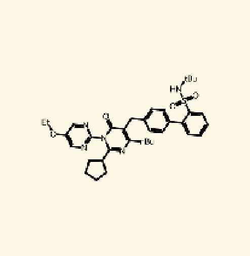 CCCCc1nc(C2CCCC2)n(-c2ncc(OCC)cn2)c(=O)c1Cc1ccc(-c2ccccc2S(=O)(=O)NC(C)(C)C)cc1